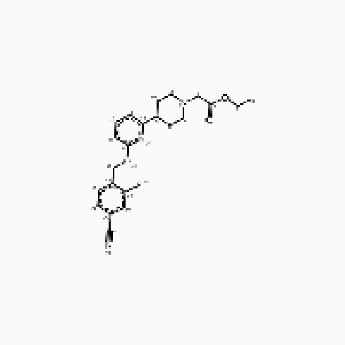 CCOC(=O)CN1CCC(c2cccc(OCc3ccc(C#N)cc3F)n2)CC1